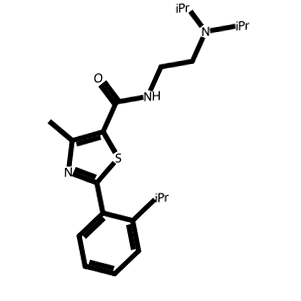 Cc1nc(-c2ccccc2C(C)C)sc1C(=O)NCCN(C(C)C)C(C)C